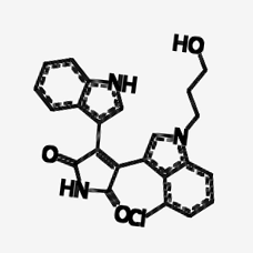 O=C1NC(=O)C(c2cn(CCCO)c3cccc(Cl)c23)=C1c1c[nH]c2ccccc12